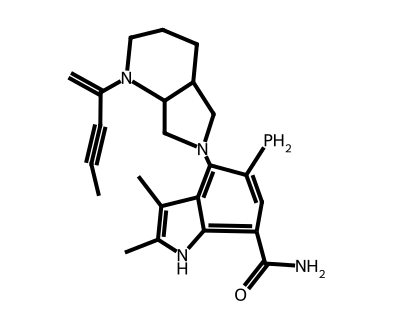 C=C(C#CC)N1CCCC2CN(c3c(P)cc(C(N)=O)c4[nH]c(C)c(C)c34)CC21